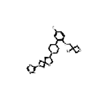 CCC1(COc2ccc(F)cc2C2CCN(C3COC4(C3)CN(c3nnco3)C4)CC2)COC1